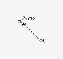 CCCCCCCCCCCCCCCCCCNC(=O)Oc1ccccc1CCC(=O)NCCCN1CCOCC1